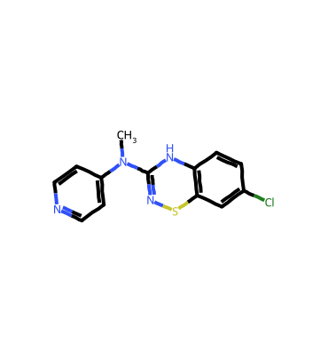 CN(C1=NSc2cc(Cl)ccc2N1)c1ccncc1